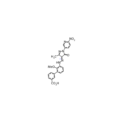 COc1c(N/N=C2/C(=O)N(c3ccc([N+](=O)[O-])nc3)N=C2C)cccc1-c1cccc(C(=O)O)c1